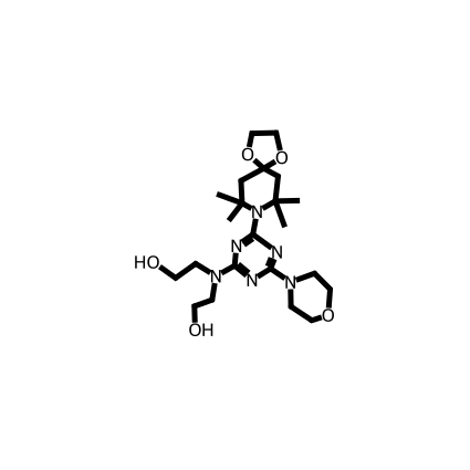 CC1(C)CC2(CC(C)(C)N1c1nc(N(CCO)CCO)nc(N3CCOCC3)n1)OCCO2